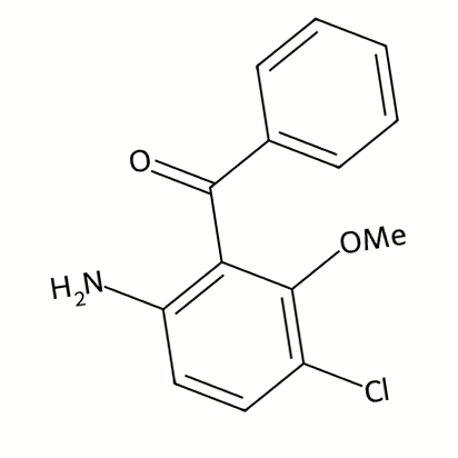 COc1c(Cl)ccc(N)c1C(=O)c1ccccc1